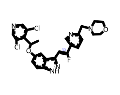 CC(Oc1ccc2[nH]nc(/C=C(\F)c3ccc(CN4CCOCC4)nc3)c2c1)c1c(Cl)cncc1Cl